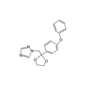 c1ccc(Oc2ccc(C3(Cn4cncn4)OCCO3)cc2)cc1